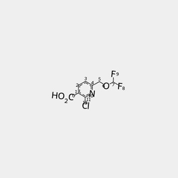 O=C(O)c1ccc(COC(F)F)nc1Cl